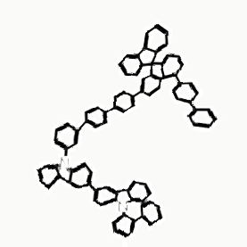 c1ccc(-c2ccc(-c3cccc(C4(c5cccc(-c6ccc(-c7ccc(-c8cccc(-n9c%10ccccc%10c%10cc(-c%11ccc%12c(c%11)c%11ccccc%11n%12-c%11ccccc%11-c%11ccccc%11)ccc%109)c8)cc7)cc6)c5)c5ccccc5-c5ccccc54)c3)cc2)cc1